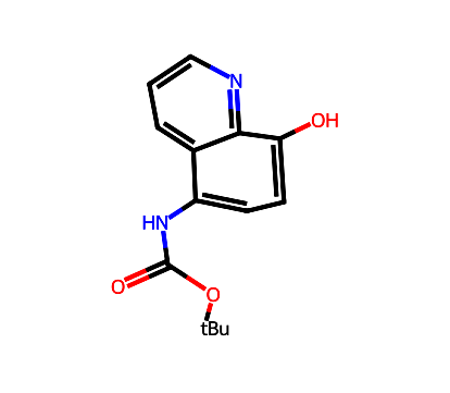 CC(C)(C)OC(=O)Nc1ccc(O)c2ncccc12